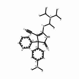 CC(C)N(C(C)C)C(C)SC1=C(C#N)C(c2ccc(N(C)C)cc2)(c2cccnc2)C(=O)N1